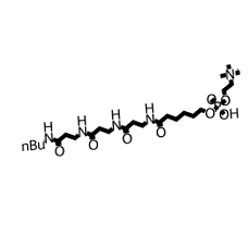 CCCCNC(=O)CCNC(=O)CCNC(=O)CCNC(=O)CCCCCOP(=O)(O)OCC[N+](C)(C)C